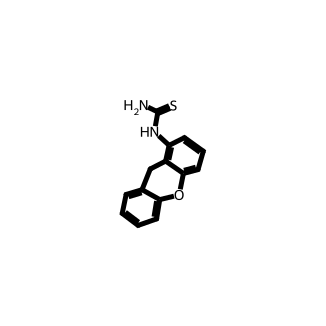 NC(=S)Nc1cccc2c1Cc1ccccc1O2